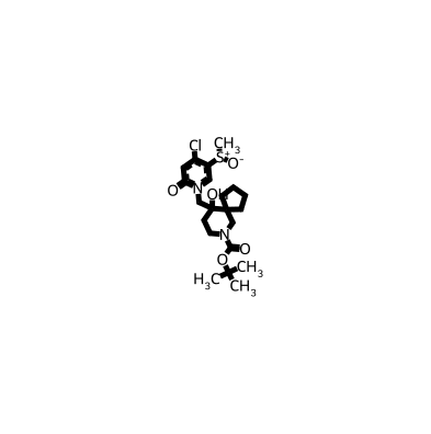 C[S+]([O-])c1cn(CC2(O)CCN(C(=O)OC(C)(C)C)CC23CCCC3)c(=O)cc1Cl